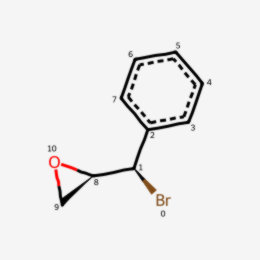 Br[C@H](c1ccccc1)[C@H]1CO1